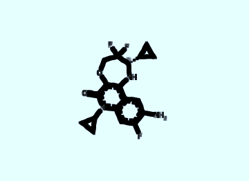 Nc1cc2c3c(c(=O)n(C4CC4)c2cc1F)OCC(F)(F)[C@H](C1CC1)N3